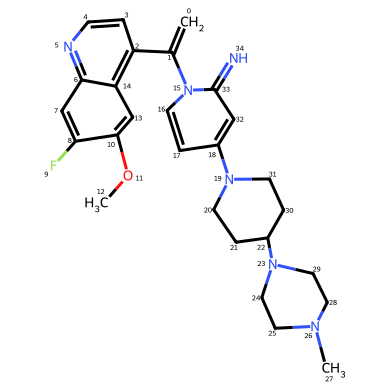 C=C(c1ccnc2cc(F)c(OC)cc12)n1ccc(N2CCC(N3CCN(C)CC3)CC2)cc1=N